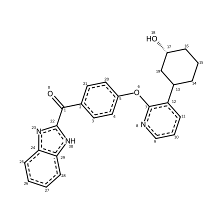 O=C(c1ccc(Oc2ncccc2C2CCC[C@@H](O)C2)cc1)c1nc2ccccc2[nH]1